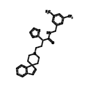 O=C(NCc1cc(C(F)(F)F)cc(C(F)(F)F)c1)C(CCN1CCC2(C=Cc3ccccc32)CC1)c1cccs1